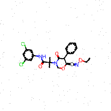 CCON=C=C1OCN(C(C)(C)C(=O)Nc2cc(Cl)cc(Cl)c2)C(=O)C1c1ccccc1